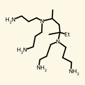 CCC(C)(CC(C)N(CCCN)CCCN)N(CCCN)CCCN